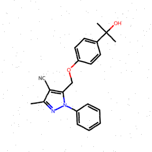 Cc1nn(-c2ccccc2)c(COc2ccc(C(C)(C)O)cc2)c1C#N